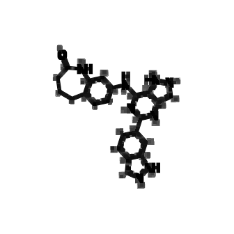 O=C1CCCc2ccc(Nc3nc(-c4ccc5cn[nH]c5c4)nc4cn[nH]c34)cc2N1